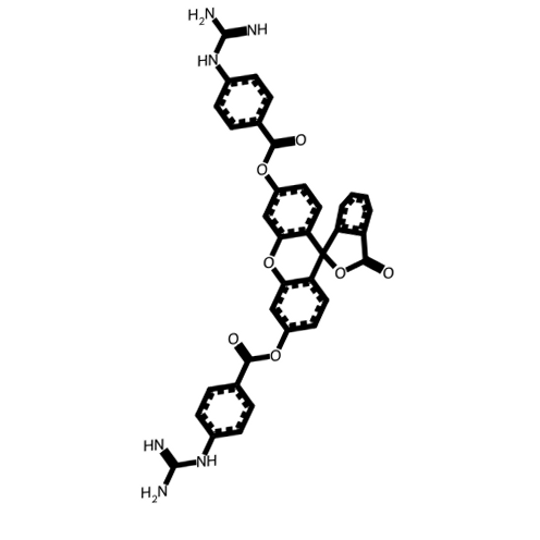 N=C(N)Nc1ccc(C(=O)Oc2ccc3c(c2)Oc2cc(OC(=O)c4ccc(NC(=N)N)cc4)ccc2C32OC(=O)c3ccccc32)cc1